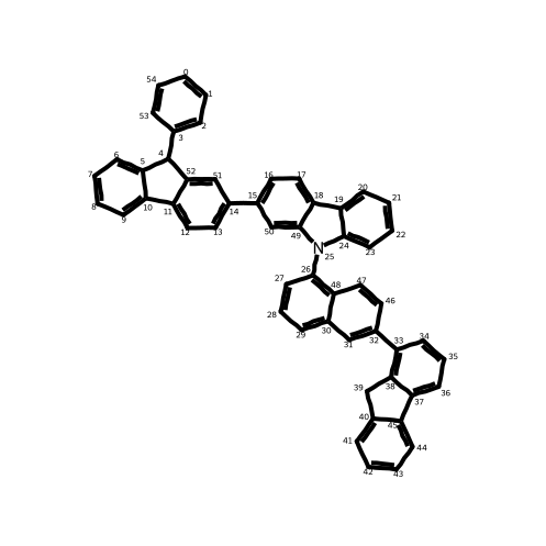 c1ccc(C2c3ccccc3-c3ccc(-c4ccc5c6ccccc6n(-c6cccc7cc(-c8cccc9c8Cc8ccccc8-9)ccc67)c5c4)cc32)cc1